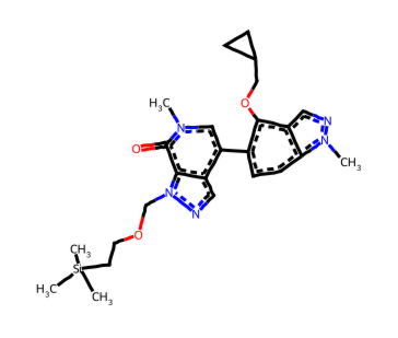 Cn1cc(-c2ccc3c(cnn3C)c2OCC2CC2)c2cnn(COCC[Si](C)(C)C)c2c1=O